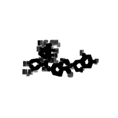 C[C@@H]1[C@@H](N=C(Nc2ccc3c(=O)n([C@H](CF)Cc4ccc(F)cc4F)cnc3c2)N2CCN[C@@H](C)C2)C[C@H]2C[C@@H]1C2(C)C